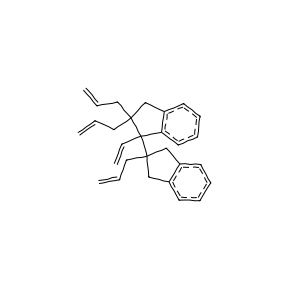 C=CCC1(C2(C=C)c3ccccc3CC2(CC=C)CC=C)Cc2ccccc2C1